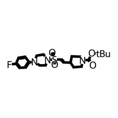 CC(C)(C)OC(=O)N1CCC(C=CS(=O)(=O)N2CCN(c3ccc(F)cc3)CC2)CC1